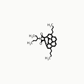 CCCCc1cc2c3c(=O)n(C(CC)CCC)c(=O)c3c3cc(CCCC)c4ccc5ccc1c1c5c4c3c21